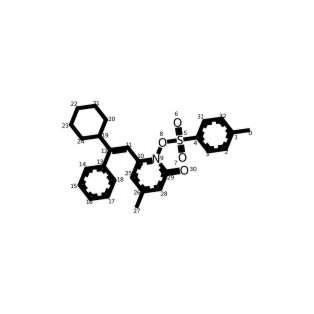 Cc1ccc(S(=O)(=O)On2c(C=C(c3ccccc3)C3CCCCC3)cc(C)cc2=O)cc1